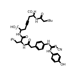 CC(C)CC(NC(=O)Cc1ccc(NC(=NC#N)Nc2ccc(O)cc2)cc1)C(=O)NC(CC#CCC(NC(=O)CC(C)(C)C)C(=O)O)C(=O)O